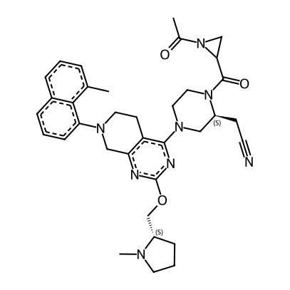 CC(=O)N1CC1C(=O)N1CCN(c2nc(OC[C@@H]3CCCN3C)nc3c2CCN(c2cccc4cccc(C)c24)C3)C[C@@H]1CC#N